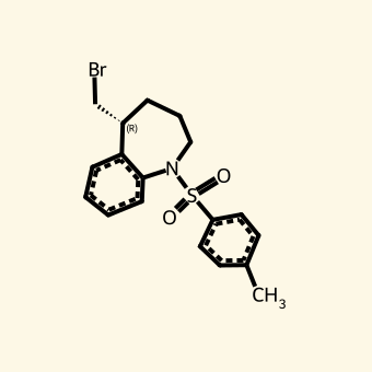 Cc1ccc(S(=O)(=O)N2CCC[C@@H](CBr)c3ccccc32)cc1